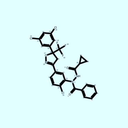 O=C(NN(C(=O)c1ccccc1)c1cc(C2=NOC(c3cc(Cl)cc(Cl)c3)(C(F)(F)F)C2)ccc1Cl)C1CC1